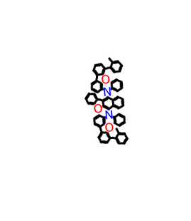 Cc1ccccc1-c1cccc2c1oc1c(N(c3ccccc3)c3c4ccccc4c(N(c4ccccc4)c4cccc5c4oc4c(-c6ccccc6C)cccc45)c4c3oc3ccccc34)cccc12